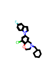 Fc1ccc2c(ccn2-c2cc(Cl)c3c(c2)CN(CC2CCCCC2)CCO3)c1